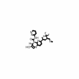 C=N/C=C(\C=C(/C)c1ccc2c(n1)N(C(=O)Nc1cccnn1)[C@@H]1CN2C[C@H]1O)C(F)(F)F